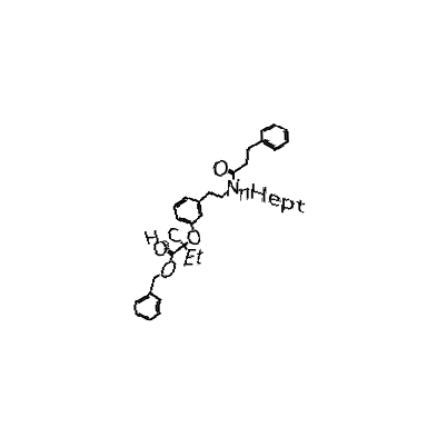 CCCCCCCN(CCc1cccc(OC(C)(CC)C(=O)OCc2ccccc2)c1)C(=O)CCc1ccccc1